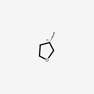 F[C@H]1[CH]COC1